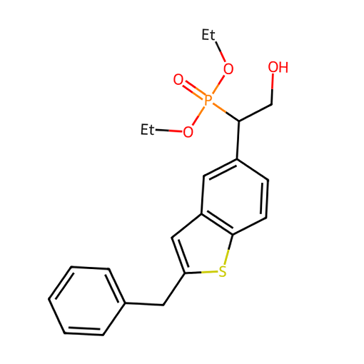 CCOP(=O)(OCC)C(CO)c1ccc2sc(Cc3ccccc3)cc2c1